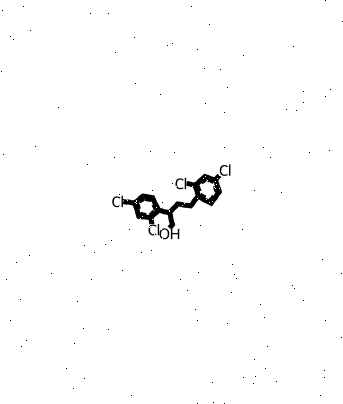 OCC(CCc1ccc(Cl)cc1Cl)c1ccc(Cl)cc1Cl